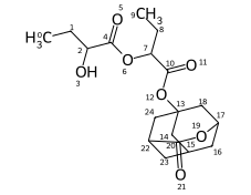 CCC(O)C(=O)OC(CC)C(=O)OC12CC3CC(C1)OC(=O)C(C3)C2